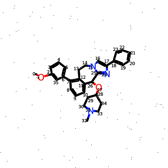 COc1cccc(-c2cccc3c2CCn2cc(-c4ccccc4)nc2C3OC2CCN(C)CC2)c1